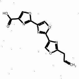 C=CCc1nc(-c2nc(-c3nc(C(=O)O)co3)co2)co1